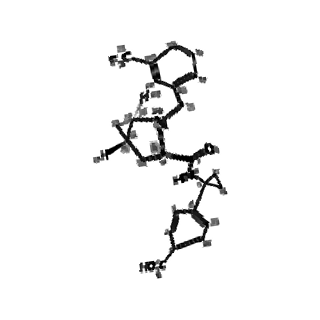 O=C(O)c1ccc(C2(NC(=O)[C@H]3C[C@@H]4C[C@H]4N3Cc3cccc(C(F)(F)F)c3)CC2)cc1